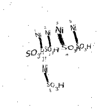 O=[S](=O)(O)[Ni].O=[S](=O)(O)[Ni].O=[S](=O)(O)[Ni].O=[S](=O)(O)[Ni].O=[S](=O)(O)[Ni]